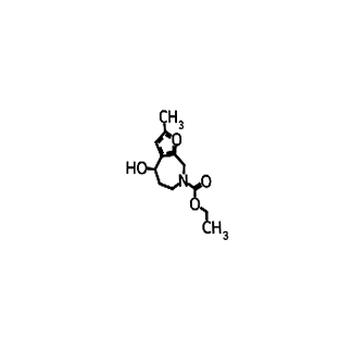 CCOC(=O)N1CCC(O)c2cc(C)oc2C1